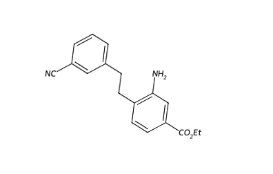 CCOC(=O)c1ccc(CCc2cccc(C#N)c2)c(N)c1